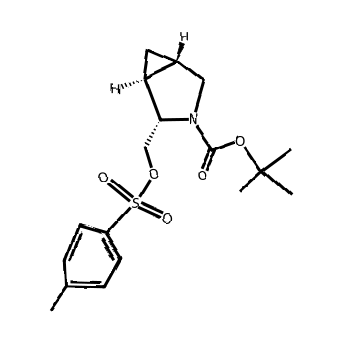 Cc1ccc(S(=O)(=O)OC[C@@H]2[C@H]3C[C@@H]3CN2C(=O)OC(C)(C)C)cc1